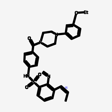 C=Nc1c(/C=C\C)cccc1S(=O)(=O)Nc1ccc(C(=O)N2CCN(c3cccc(OCC)c3)CC2)cc1